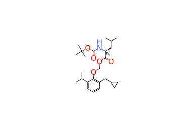 CC(C)C[C@H](NC(=O)OC(C)(C)C)C(=O)OCOc1c(CC2CC2)cccc1C(C)C